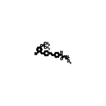 CCNC(=O)NC1CCC(CCN2CCC(Cc3cc(OC(C)C)ccc3Br)CC2)CC1